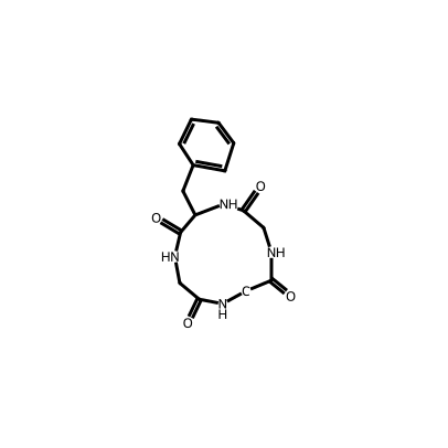 O=C1CNC(=O)CNC(=O)C(Cc2ccccc2)NC(=O)CN1